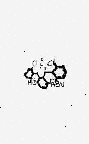 CCCCc1ccc(O)c(Cc2c(Cl)cccc2Cl)c1Cc1c(Cl)cccc1Cl.P